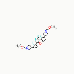 COCCN1CCC(c2cccc(C(CF)C(=O)C(CF)c3cccc(C4CCN(CCOC)CC4)c3F)c2F)CC1